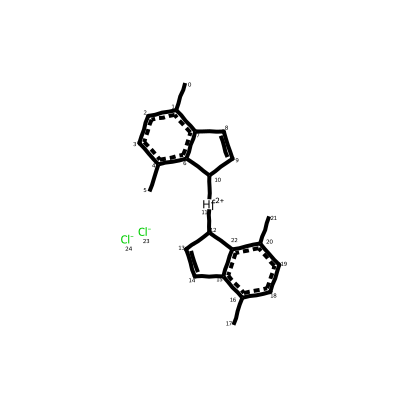 Cc1ccc(C)c2c1C=C[CH]2[Hf+2][CH]1C=Cc2c(C)ccc(C)c21.[Cl-].[Cl-]